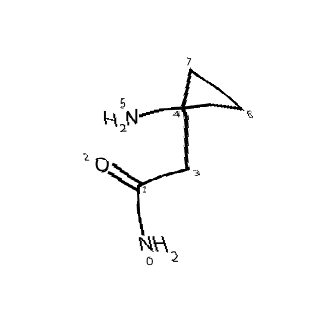 NC(=O)CC1(N)CC1